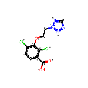 O=C(O)c1ccc(Cl)c(OCCn2ncnn2)c1Cl